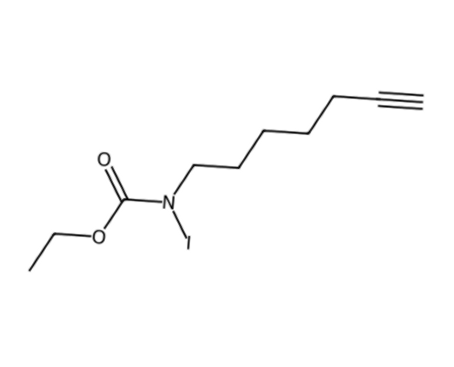 C#CCCCCCN(I)C(=O)OCC